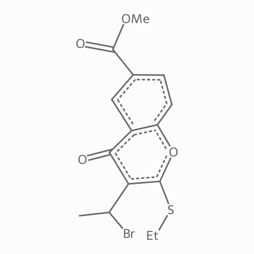 CCSc1oc2ccc(C(=O)OC)cc2c(=O)c1C(C)Br